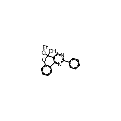 CCOC1(C)Oc2ccccc2-c2nc(-c3ccccc3)ncc21